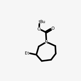 CCC1CCCCN(C(=O)OC(C)(C)C)C1